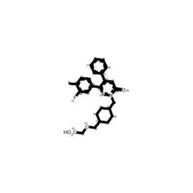 Cc1ccc(-c2nn(CC3CCC(COCC(=O)O)CC3)c(=O)cc2-c2ccccc2)cc1F